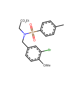 CCOC(=O)CN(Cc1ccc(OC)c(Br)c1)S(=O)(=O)c1ccc(C)cc1